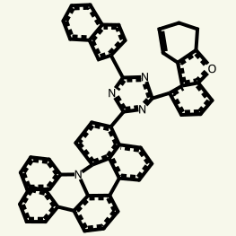 C1=Cc2c(oc3cccc(-c4nc(-c5ccc6ccccc6c5)nc(-c5ccc6c7c(cccc57)-c5cccc(-c7ccccc7)c5N6c5ccccc5)n4)c23)CC1